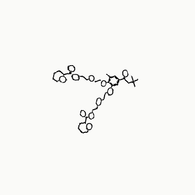 Cc1cc(C(=O)CC(C)(C)C)cc(OCCOCCOC(=O)C2CCCCO2)c1OCCOCCOC(=O)C1CCCCO1